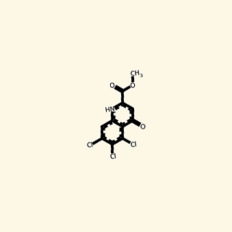 COC(=O)c1cc(=O)c2c(Cl)c(Cl)c(Cl)cc2[nH]1